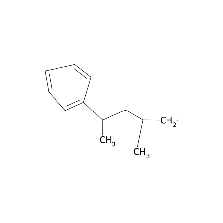 [CH2]C(C)CC(C)c1ccccc1